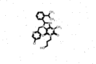 CC(C)c1ccccc1C1Nc2c(c(=O)n(CCCO)c(=O)n2C)N1Cc1ccc(Cl)cn1